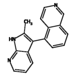 Cc1[nH]c2ncccc2c1-c1cccc2cnccc12